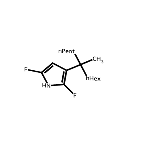 CCCCCCC(C)(CCCCC)c1cc(F)[nH]c1F